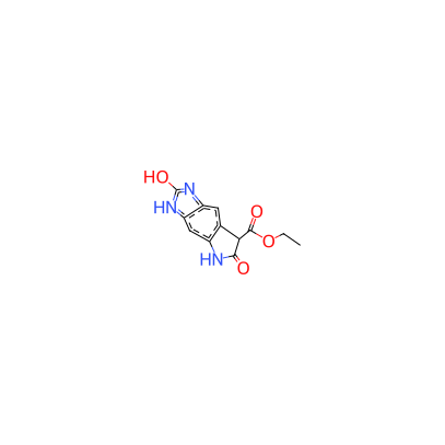 CCOC(=O)C1C(=O)Nc2cc3[nH]c(O)nc3cc21